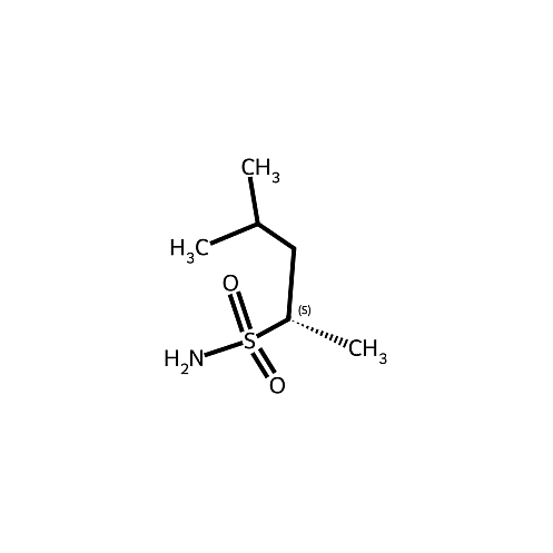 CC(C)C[C@H](C)S(N)(=O)=O